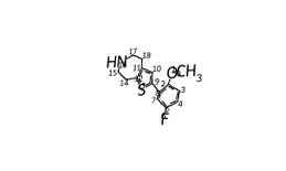 COc1ccc(F)cc1-c1cc2c(s1)CCNCC2